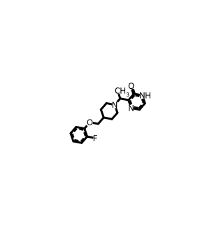 CC(c1ncc[nH]c1=O)N1CCC(COc2ccccc2F)CC1